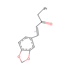 CC(C)CC(=O)/C=C/c1ccc2c(c1)OCO2